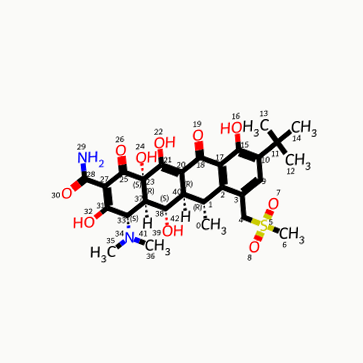 C[C@H]1c2c(CS(C)(=O)=O)cc(C(C)(C)C)c(O)c2C(=O)C2=C(O)[C@]3(O)C(=O)C(C(N)=O)=C(O)[C@@H](N(C)C)[C@@H]3[C@@H](O)[C@@H]21